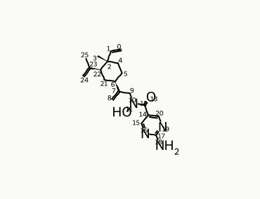 C=C[C@]1(C)CC[C@@H](C(=C)CN(O)C(=O)c2cnc(N)nc2)C[C@H]1C(=C)C